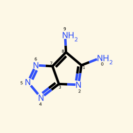 NC1=NC2=NN=NC2=C1N